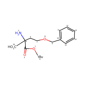 CC(C)(C)OC(=O)C(N)(CCOCc1ccccc1)C(=O)O